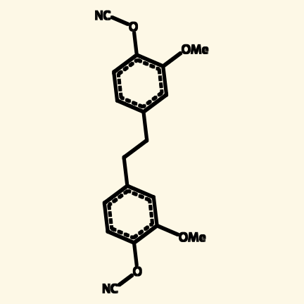 COc1cc(CCc2ccc(OC#N)c(OC)c2)ccc1OC#N